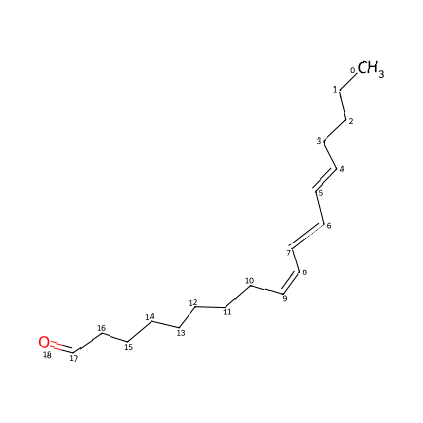 CCCC/C=C/C=C/C=C\CCCCCCCC=O